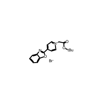 CC(C)(C)OC(=O)C[n+]1ccc(-c2nc3ccccc3o2)cc1.[Br-]